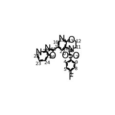 O=S(=O)(c1ccc(F)cc1)N1CCOc2ncc(-c3nc4ncccc4o3)cc21